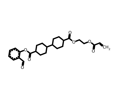 C=CC(=O)OCCOC(=O)C1CCC(C2CCC(C(=O)Oc3ccccc3C=O)CC2)CC1